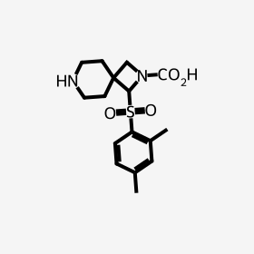 Cc1ccc(S(=O)(=O)C2N(C(=O)O)CC23CCNCC3)c(C)c1